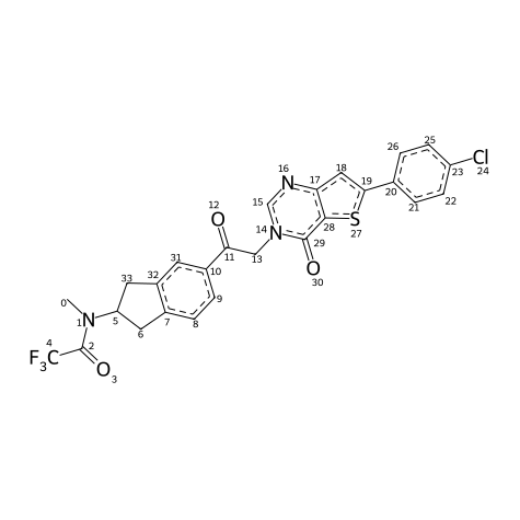 CN(C(=O)C(F)(F)F)C1Cc2ccc(C(=O)Cn3cnc4cc(-c5ccc(Cl)cc5)sc4c3=O)cc2C1